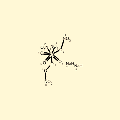 O=[N+]([O-])O[O][Ru](=[O])(=[O])(=[O])([O][N+](=O)[O-])([N+](=O)[O-])[N+](=O)[O-].[NaH].[NaH]